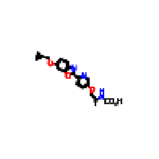 C[C@@H](COc1ccc(-c2nc3ccc(OCC4CC4)cc3o2)nc1)NC(=O)O